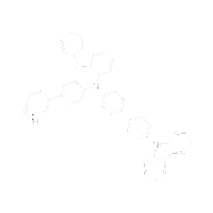 C#C/C=C\C(=C/C)c1ccc(N(c2ccc(-c3ccc(-n4c5ccccc5c5ccccc54)cc3)cc2)C2C=CC=C3C4=C(C=CCC4)OC32)cc1